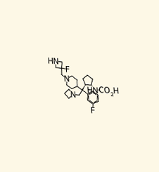 O=C(O)N[C@H]1CCC[C@@H]1C(CN1CCC1)(c1cccc(F)c1)C1CCN(CC2(F)CNC2)CC1